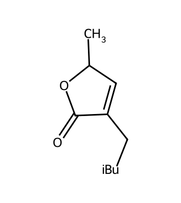 CCC(C)CC1=CC(C)OC1=O